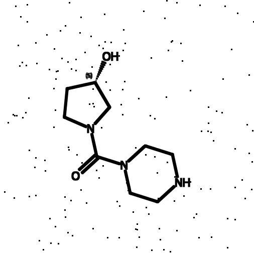 O=C(N1CCNCC1)N1CC[C@H](O)C1